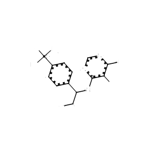 CCc1ncnc(NC(CO)c2ccc(C(C)(CC)CC)cc2)c1Cl